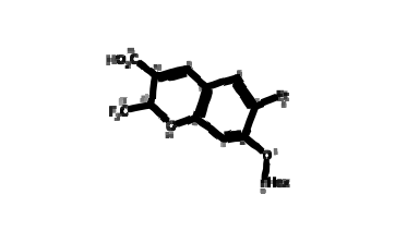 CCCCCCOc1cc2c(cc1CC)C=C(C(=O)O)C(C(F)(F)F)O2